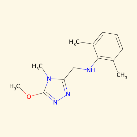 COc1nnc(CNc2c(C)cccc2C)n1C